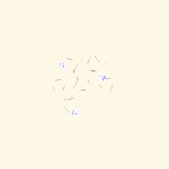 [c]1cccc(-c2ccc(-c3ccccn3)c(-c3ccccc3)c2-c2cccnc2)c1-c1ccncc1